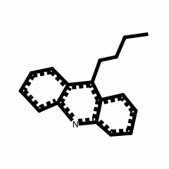 CCCCc1c2ccccc2nc2ccccc12